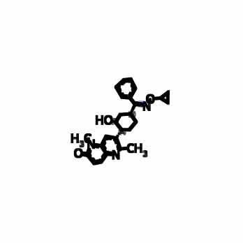 Cc1nc2ccc(=O)n(C)c2cc1[C@H]1CC[C@H](/C(=N/OC2CC2)c2ccccc2)C[C@H]1O